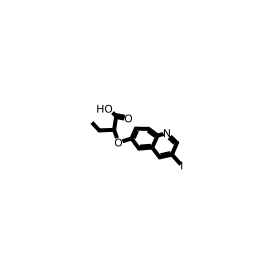 CCC(Oc1ccc2ncc(I)cc2c1)C(=O)O